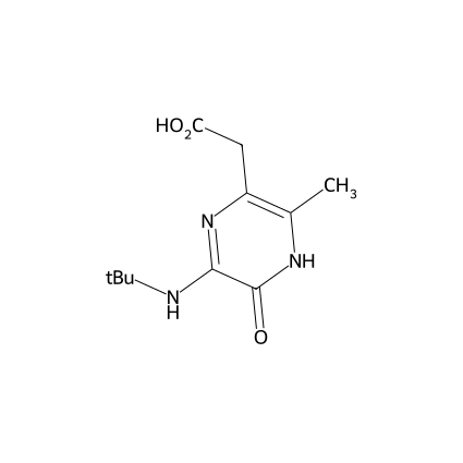 Cc1[nH]c(=O)c(NC(C)(C)C)nc1CC(=O)O